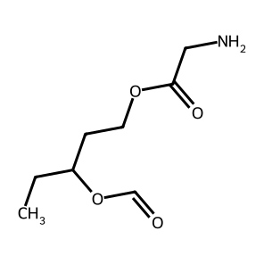 CCC(CCOC(=O)CN)OC=O